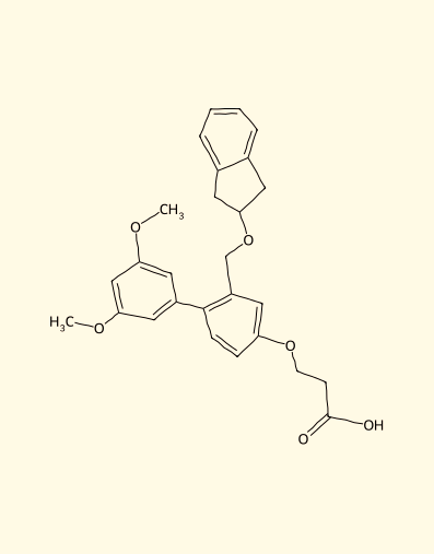 COc1cc(OC)cc(-c2ccc(OCCC(=O)O)cc2COC2Cc3ccccc3C2)c1